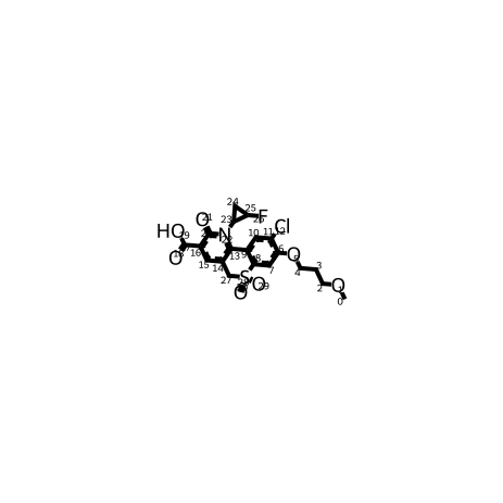 COCCCOc1cc2c(cc1Cl)-c1c(cc(C(=O)O)c(=O)n1C1CC1F)CS2(=O)=O